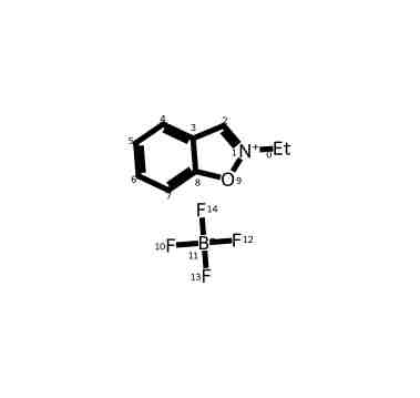 CC[n+]1cc2ccccc2o1.F[B-](F)(F)F